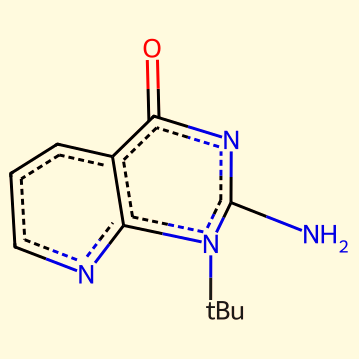 CC(C)(C)n1c(N)nc(=O)c2cccnc21